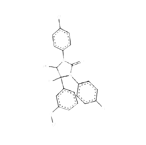 CC(C)C1(c2cccc(OC(F)(F)F)c2)C(O)N(c2ccc(Cl)cc2)C(=O)N1c1ccc(Cl)cc1